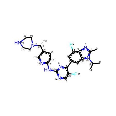 Cc1nc2c(F)cc(-c3nc(Nc4ccc([C@@H](C)N5CCNCC5)cn4)ncc3F)cc2n1C(C)C